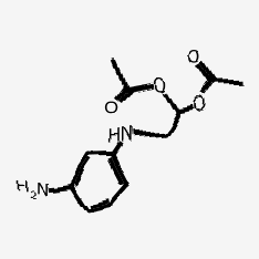 CC(=O)OC(CNc1cccc(N)c1)OC(C)=O